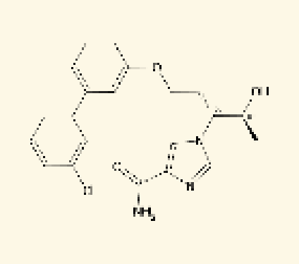 C[C@H](O)[C@@H](CCOc1cccc(-c2cccc(Cl)c2)c1)n1cnc(C(N)=O)c1